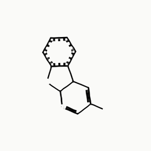 ClC1=CC2c3ccccc3SC2N=C1